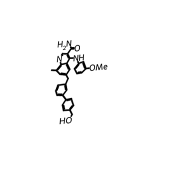 COc1cccc(Nc2c(C(N)=O)cnc3c(C)cc(Cc4cccc(-c5ccc(CO)cc5)c4)cc23)c1